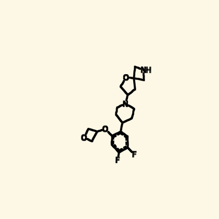 Fc1cc(OC2COC2)c(C2CCN(C3COC4(CNC4)C3)CC2)cc1F